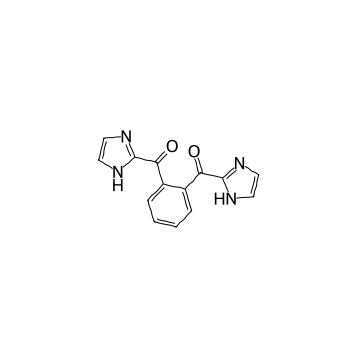 O=C(c1ncc[nH]1)c1ccccc1C(=O)c1ncc[nH]1